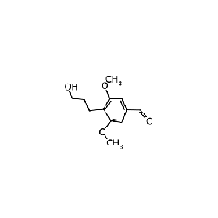 COc1cc(C=O)cc(OC)c1CCCO